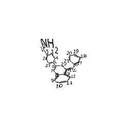 NCc1ccc(C2=Cc3ccccc3/C(=C/c3ccccc3)C2)cc1